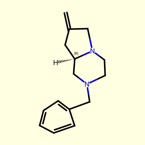 C=C1C[C@@H]2CN(Cc3ccccc3)CCN2C1